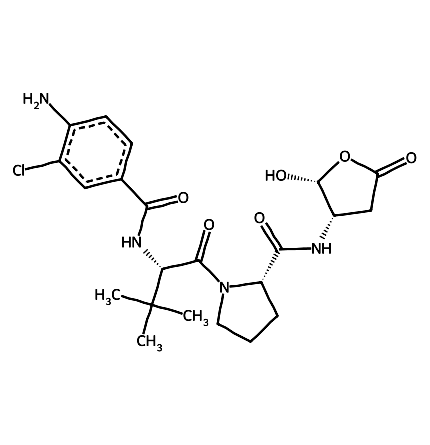 CC(C)(C)[C@H](NC(=O)c1ccc(N)c(Cl)c1)C(=O)N1CCC[C@H]1C(=O)N[C@H]1CC(=O)O[C@H]1O